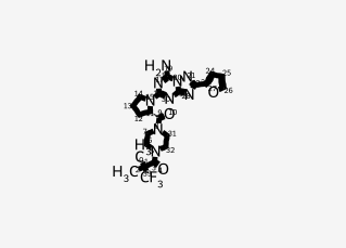 CC(C)(C(=O)N1CCN(C(=O)[C@@H]2CCCN2c2nc(N)n3nc(-c4ccco4)nc3n2)CC1)C(F)(F)F